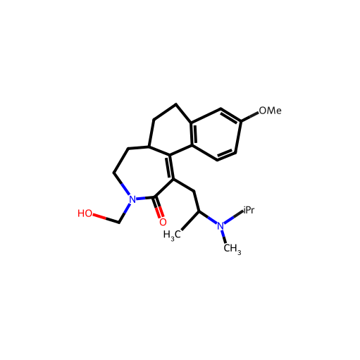 COc1ccc2c(c1)CCC1CCN(CO)C(=O)C(CC(C)N(C)C(C)C)=C21